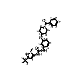 Cn1nc(C(C)(C)C)cc1NC(=O)Nc1cccc(OC2CCN(C(=O)c3ccccc3)CC2)c1